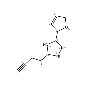 C#CCSC1NNC(C2C=CCO2)N1